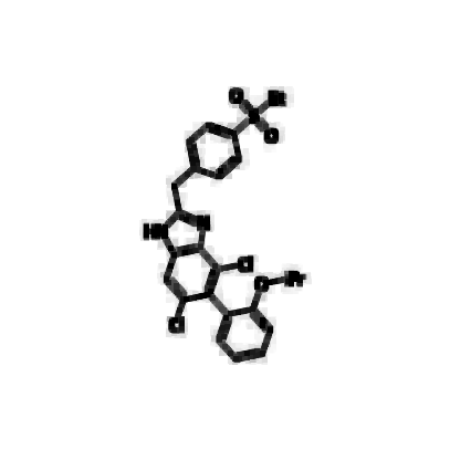 CCS(=O)(=O)c1ccc(Cc2nc3c(Cl)c(-c4ccccc4OC(C)C)c(Cl)cc3[nH]2)cc1